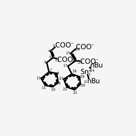 CCC[CH2][Sn+4][CH2]CCC.O=C([O-])/C=C(/Cc1ccccc1)C(=O)[O-].O=C([O-])/C=C(/Cc1ccccc1)C(=O)[O-]